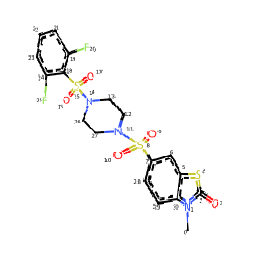 Cn1c(=O)sc2cc(S(=O)(=O)N3CCN(S(=O)(=O)c4c(F)cccc4F)CC3)ccc21